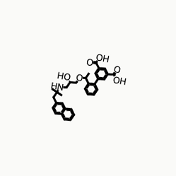 CC(OC[C@@H](O)CNC(C)(C)Cc1ccc2ccccc2c1)c1ccccc1-c1cc(C(=O)O)cc(C(=O)O)c1